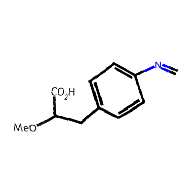 C=Nc1ccc(CC(OC)C(=O)O)cc1